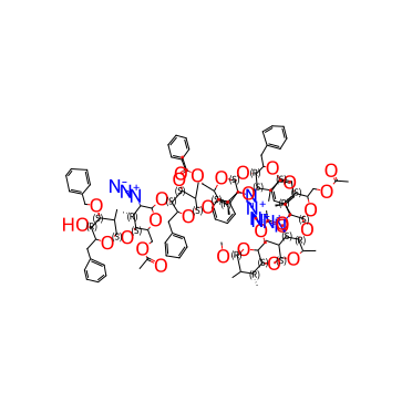 CO[C@@H]1OC(COC(C)=O)[C@@H](O[C@@H]2OC(C)[C@@H](O[C@@H]3OC(COC(C)=O)[C@@H](O[C@@H]4OC(Cc5ccccc5)[C@@H](O[C@@H]5OC(COC(C)=O)[C@@H](O[C@@H]6OC(Cc7ccccc7)[C@H](OC7OC(COC(C)=O)[C@@H](O[C@@H]8OC(Cc9ccccc9)[C@@H](O)[C@@H](OCc9ccccc9)C8C)[C@H](C)C7N=[N+]=[N-])[C@@H](OCc7ccccc7)C6C)[C@H](C)C5N=[N+]=[N-])[C@@H](OCc5ccccc5)C4C)[C@H](C)C3N=[N+]=[N-])[C@@H](OCc3ccccc3)C2C)[C@H](C)C1C